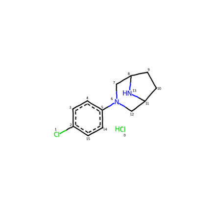 Cl.Clc1ccc(N2CC3CCC(C2)N3)cc1